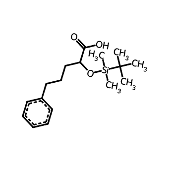 CC(C)(C)[Si](C)(C)OC(CCCc1ccccc1)C(=O)O